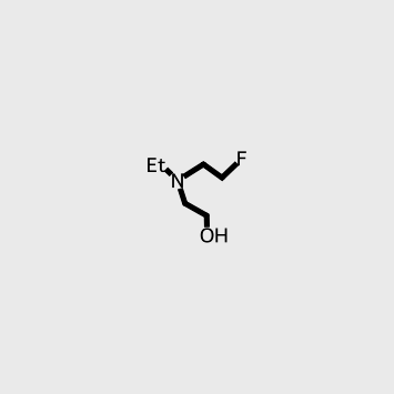 CCN(CCO)CCF